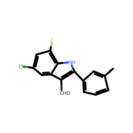 Cc1cccc(-c2[nH]c3c(F)cc(Cl)cc3c2C=O)c1